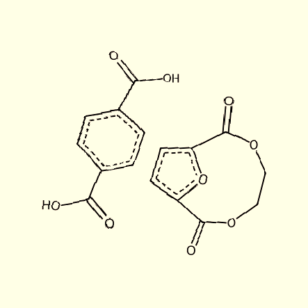 O=C(O)c1ccc(C(=O)O)cc1.O=C1OCCOC(=O)c2ccc1o2